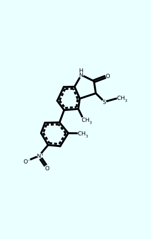 CSC1C(=O)Nc2ccc(-c3ccc([N+](=O)[O-])cc3C)c(C)c21